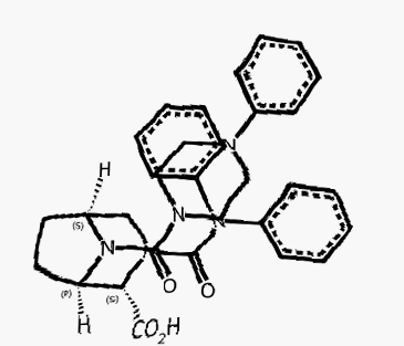 O=C(O)[C@@H]1[C@H]2CC[C@@H](CN1C(=O)N(c1ccccc1)c1ccccc1)N2C(=O)N1CCN(c2ccccc2)CC1